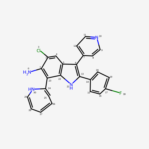 Nc1c(Cl)cc2c(-c3ccncc3)c(-c3ccc(F)cc3)[nH]c2c1C1=CC=CC=CN1